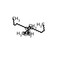 CCCCC/C=C\C/C=C\CCCCCCCCOc1cc(C(CCCN(C)C)OC(=O)O)c(OCCCCCCCC/C=C\C/C=C\CCCCC)cc1C